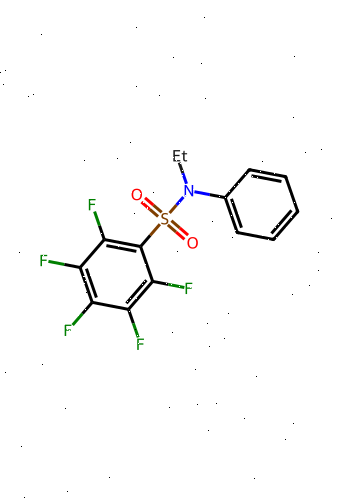 CCN(c1ccccc1)S(=O)(=O)c1c(F)c(F)c(F)c(F)c1F